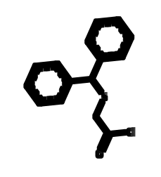 O=C(Cl)CSC(c1ccccc1)c1ccccc1